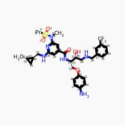 CC(C)S(=O)(=O)N(C)c1cc(C(=O)N[C@@H](COc2ccc(N)cc2)[C@H](O)CNCc2cccc(C(F)(F)F)c2)cc(NC[C@H]2C[C@@H]2C)n1